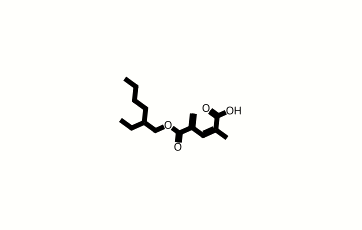 C=C(C=C(C)C(=O)O)C(=O)OCC(CC)CCCC